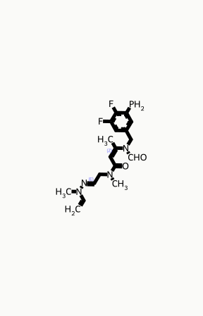 C=CN(C)/N=C/CN(C)C(=O)/C=C(/C)N(C=O)Cc1cc(F)c(F)c(P)c1